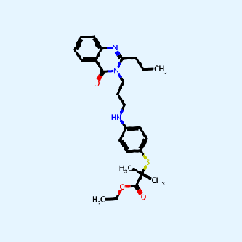 CCCc1nc2ccccc2c(=O)n1CCCNc1ccc(SC(C)(C)C(=O)OCC)cc1